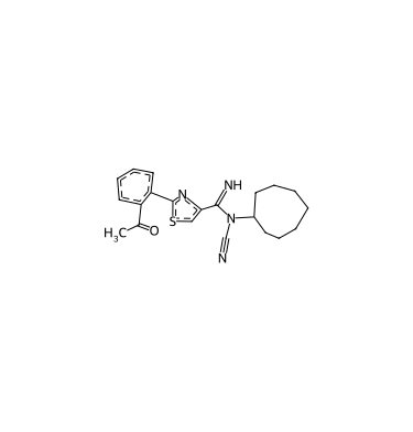 CC(=O)c1ccccc1-c1nc(C(=N)N(C#N)C2CCCCCCC2)cs1